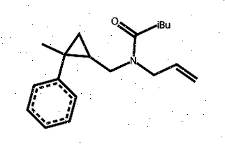 C=CCN(CC1CC1(C)c1ccccc1)C(=O)C(C)CC